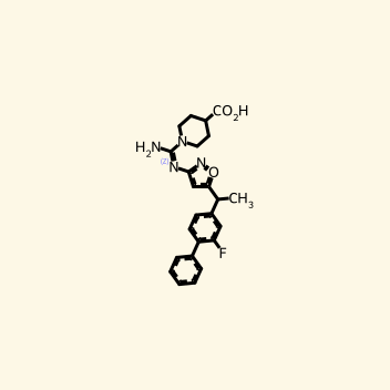 CC(c1ccc(-c2ccccc2)c(F)c1)c1cc(/N=C(/N)N2CCC(C(=O)O)CC2)no1